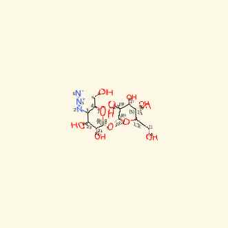 [N-]=[N+]=NC1C(CO)O[C@H](O[C@H]2OC(CO)[C@@H](O)C(O)C2O)C(O)C1O